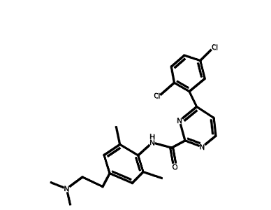 Cc1cc(CCN(C)C)cc(C)c1NC(=O)c1nccc(-c2cc(Cl)ccc2Cl)n1